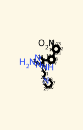 Nc1ncc(-c2cccc(-c3cccc([N+](=O)[O-])c3)c2)c(NCCCN2CCCCC2)n1